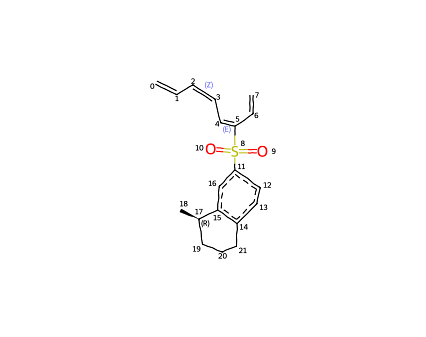 C=C/C=C\C=C(/C=C)S(=O)(=O)c1ccc2c(c1)[C@H](C)CCC2